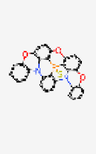 S=P12c3c4cccc3N3c5ccccc5Oc5ccc(c1c53)Oc1ccc3c(c12)N4c1ccccc1O3